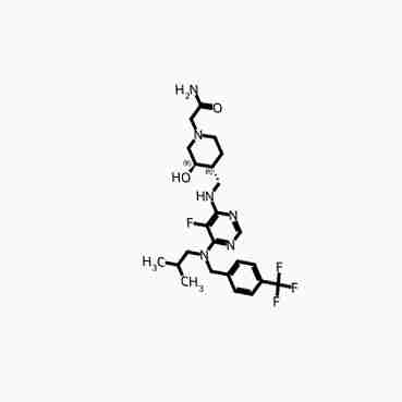 CC(C)CN(Cc1ccc(C(F)(F)F)cc1)c1ncnc(NC[C@H]2CCN(CC(N)=O)C[C@@H]2O)c1F